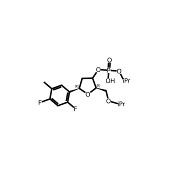 Cc1cc([C@H]2CC(OP(=O)(O)OC(C)C)[C@@H](COC(C)C)O2)c(F)cc1F